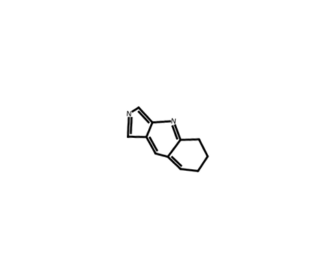 C1=NC=c2nc3c(cc21)=CCCC3